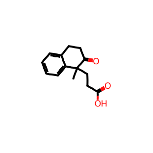 CC1(CCC(=O)O)C(=O)CCc2ccccc21